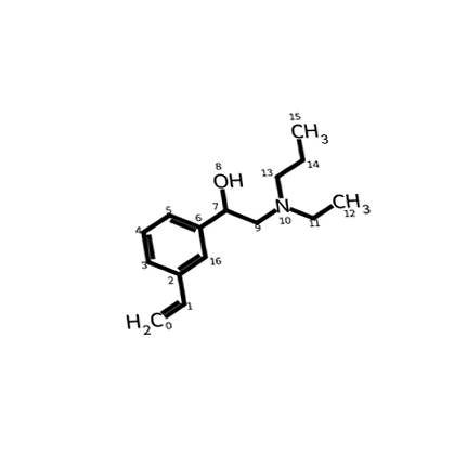 C=Cc1cccc(C(O)CN(CC)CCC)c1